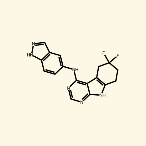 FC1(F)CCc2[nH]c3ncnc(Nc4ccc5[nH]ncc5c4)c3c2C1